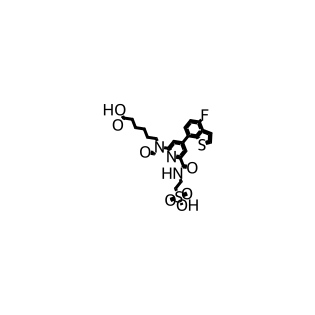 O=CN(CCCCCC(=O)O)c1cc(-c2ccc(F)c3ccsc23)cc(C(=O)NCCS(=O)(=O)O)n1